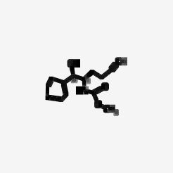 C#CCC[C@@H](NC(=O)OC)[C@H](O)c1ccccc1